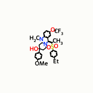 C=Nc1ccc(OC(F)(F)F)cc1/C(=C(\C)S(=O)(=O)c1ccc(CC)cc1)N1CCC(O)(c2ccc(OC)cc2)CC1